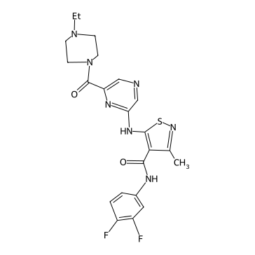 CCN1CCN(C(=O)c2cncc(Nc3snc(C)c3C(=O)Nc3ccc(F)c(F)c3)n2)CC1